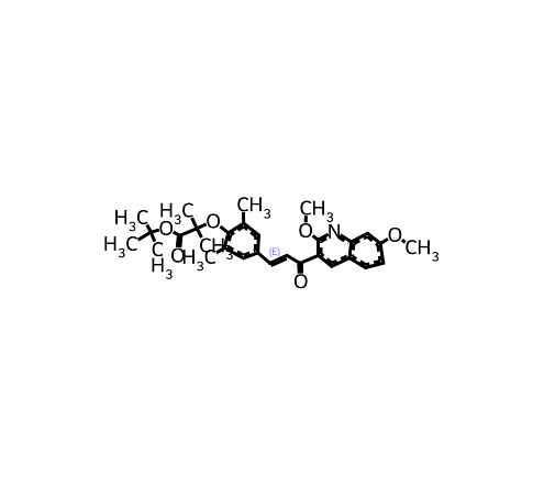 COc1ccc2cc(C(=O)/C=C/c3cc(C)c(OC(C)(C)C(=O)OC(C)(C)C)c(C)c3)c(OC)nc2c1